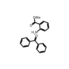 COC(=O)c1ccccc1N.O=C(c1ccccc1)c1ccccc1